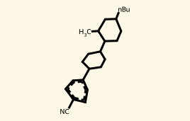 CCCCC1CCC(C2CCC(c3ccc(C#N)cc3)CC2)C(C)C1